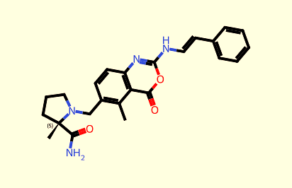 Cc1c(CN2CCC[C@@]2(C)C(N)=O)ccc2nc(NC=Cc3ccccc3)oc(=O)c12